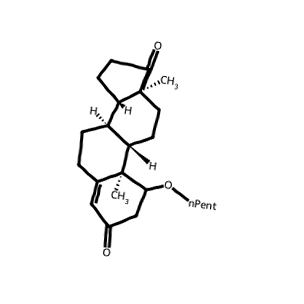 CCCCCOC1CC(=O)C=C2CC[C@H]3[C@@H]4CCC(=O)[C@@]4(C)CC[C@@H]3[C@]21C